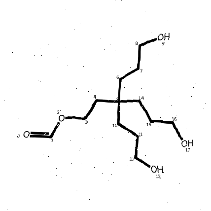 O=COCCC(CCCO)(CCCO)CCCO